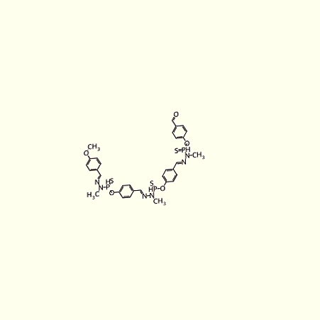 COc1ccc(/C=N/N(C)[PH](=S)Oc2ccc(/C=N/N(C)[PH](=S)Oc3ccc(/C=N/N(C)[PH](=S)Oc4ccc(C=O)cc4)cc3)cc2)cc1